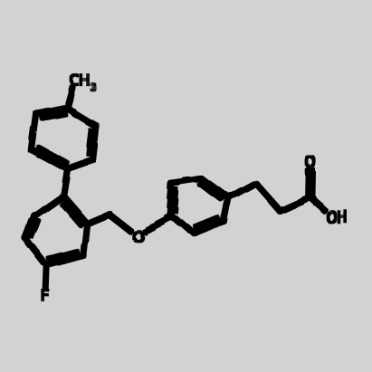 Cc1ccc(-c2ccc(F)cc2COc2ccc(CCC(=O)O)cc2)cc1